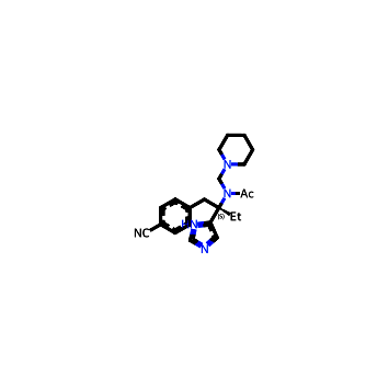 CC[C@](Cc1ccc(C#N)cc1)(c1cnc[nH]1)N(CN1CCCCC1)C(C)=O